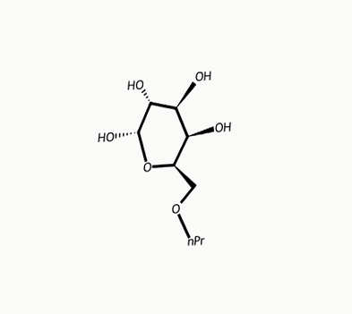 CCCOC[C@H]1O[C@H](O)[C@H](O)[C@@H](O)[C@H]1O